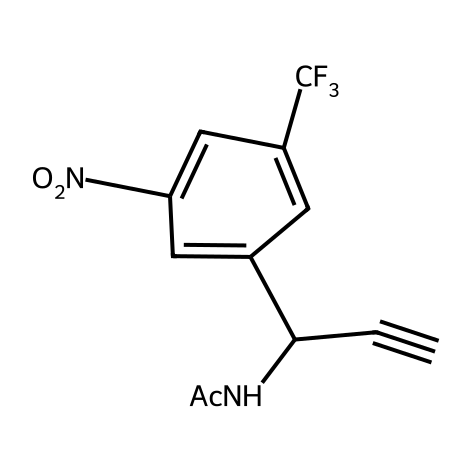 C#CC(NC(C)=O)c1cc([N+](=O)[O-])cc(C(F)(F)F)c1